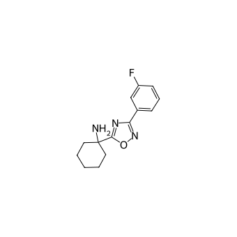 NC1(c2nc(-c3cccc(F)c3)no2)CCCCC1